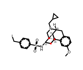 COc1ccc2c(c1)[C@]13CCN(CC4CC4)[C@H](C2)[C@]12CC[C@@](NS(=O)(=O)c1ccc(CI)cc1)(CO2)C3